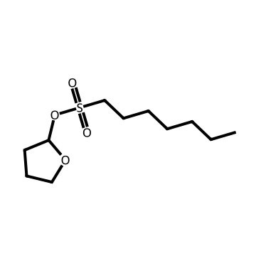 CCCCCCCS(=O)(=O)OC1CCCO1